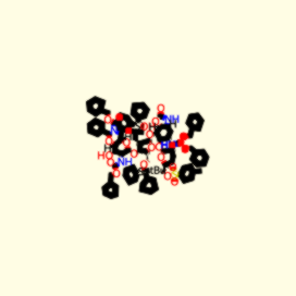 Cc1ccc(S(=O)(=O)OC[C@@H]2CC[C@@H](NC(=O)OCc3ccccc3)[C@@H](O[C@H]3[C@H](O[C@@H]4O[C@H](CO[Si](c5ccccc5)(c5ccccc5)C(C)(C)C)[C@@H](O[C@H]5O[C@H]6CN(C(=O)OCc7ccccc7)C(c7ccccc7)O[C@H]6[C@H](O)[C@H]5NC(=O)OCc5ccccc5)[C@H]4CC(C)(C)[Si](O)(c4ccccc4)c4ccccc4)[C@H]4OC(=O)N[C@@H]4C[C@@H]3NC(=O)OCc3ccccc3)O2)cc1